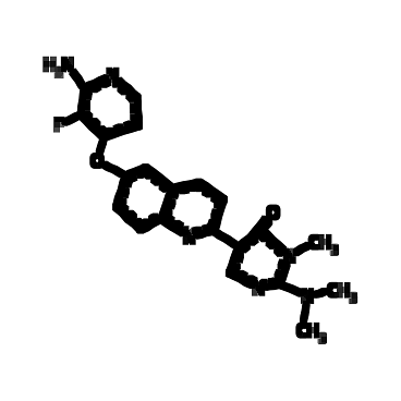 CN(C)c1ncc(-c2ccc3cc(Oc4ccnc(N)c4F)ccc3n2)c(=O)n1C